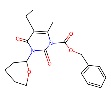 CCc1c(C)n(C(=O)OCc2ccccc2)c(=O)n(C2CCCCO2)c1=O